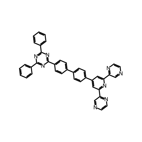 c1ccc(-c2nc(-c3ccccc3)nc(-c3ccc(-c4ccc(-c5cc(-c6cnccn6)nc(-c6cnccn6)c5)cc4)cc3)n2)cc1